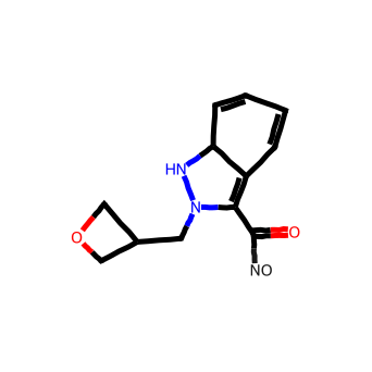 O=NC(=O)C1=C2C=CC=CC2NN1CC1COC1